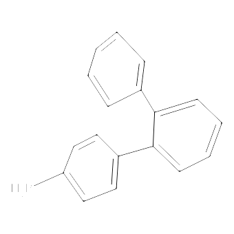 Bc1ccc(-c2ccccc2-c2ccccc2)cc1